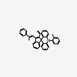 C=CC1=C(/C=C(\C)c2ccccc2)c2ccccc2C12c1ccccc1N(c1ccccc1C)c1ccccc12